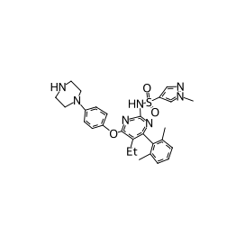 CCc1c(Oc2ccc(N3CCNCC3)cc2)nc(NS(=O)(=O)c2cnn(C)c2)nc1-c1c(C)cccc1C